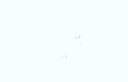 CC(C)c1ccccc1.CCCCC1(C(=O)O)C=CC=CC1